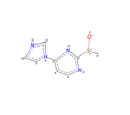 C[S+]([O-])c1nccc(-n2ccnc2)n1